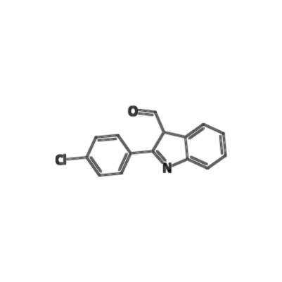 O=CC1C(c2ccc(Cl)cc2)=Nc2ccccc21